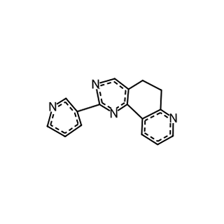 c1cncc(-c2ncc3c(n2)-c2cccnc2CC3)c1